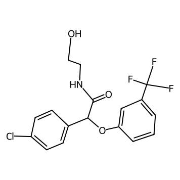 O=C(NCCO)C(Oc1cccc(C(F)(F)F)c1)c1ccc(Cl)cc1